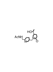 C=C(O)c1ccc(=O)n(Cc2ccc(CNC(C)=O)nc2)c1